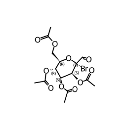 CC(=O)OC[C@H]1O[C@@](Br)(C=O)[C@@H](OC(C)=O)[C@@H](OC(C)=O)[C@@H]1OC(C)=O